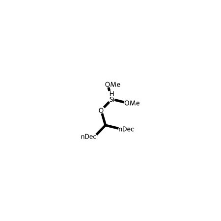 CCCCCCCCCCC(CCCCCCCCCC)O[SiH](OC)OC